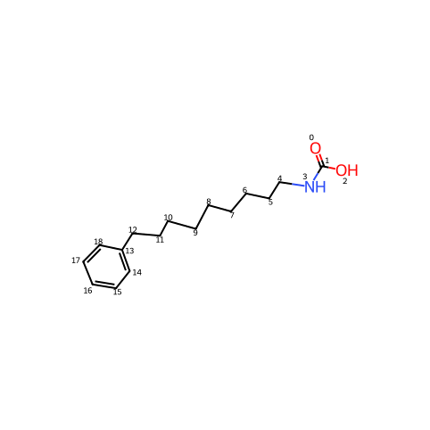 O=C(O)NCCCCCCCCCc1ccccc1